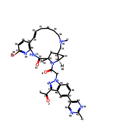 CC(=O)c1nn(CC(=O)N2[C@H]3C[C@]4(C[C@@H]24)CN(C)CCCC/C=C/c2ccc(Br)nc2NC3=O)c2ccc(-c3cnc(C)nc3)cc12